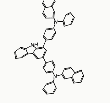 c1ccc(N(c2ccc(-c3cc(-c4ccc(N(c5ccccc5)c5ccc6ccccc6c5)cc4)c4[nH]c5ccccc5c4c3)cc2)c2ccc3ccccc3c2)cc1